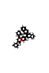 c1ccc(N(c2cccc3ccccc23)c2cccc3oc4c5ccccc5ccc4c23)c(-c2ccc3oc4ccccc4c3c2)c1